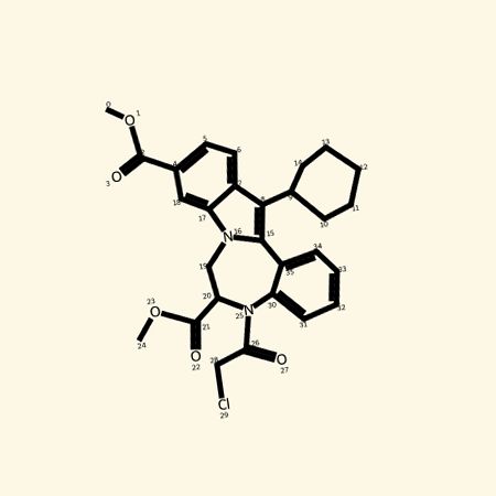 COC(=O)c1ccc2c(C3CCCCC3)c3n(c2c1)CC(C(=O)OC)N(C(=O)CCl)c1ccccc1-3